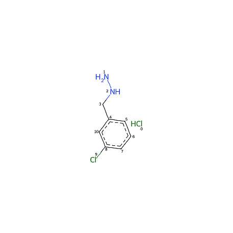 Cl.NNCc1cccc(Cl)c1